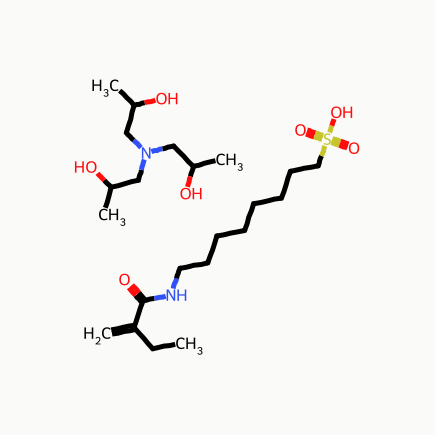 C=C(CC)C(=O)NCCCCCCCCS(=O)(=O)O.CC(O)CN(CC(C)O)CC(C)O